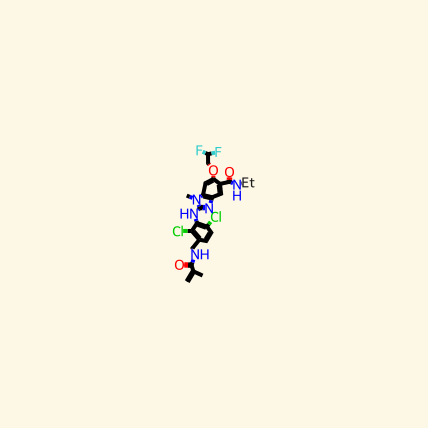 C=C(C)C(=O)NCc1ccc(Cl)c(Nc2nc3cc(C(=O)NCC)c(OCC(F)F)cc3n2C)c1Cl